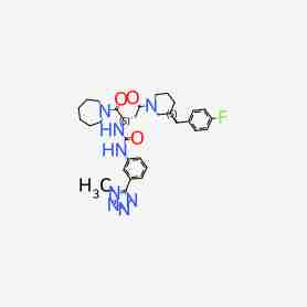 Cn1nnnc1-c1cccc(NC(=O)N[C@@H](CC(=O)N2CCC[C@@H](Cc3ccc(F)cc3)C2)C(=O)N2CCCCCC2)c1